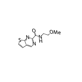 COCCNC(=O)c1ncc2ccsc2n1